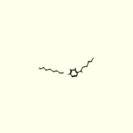 CCC[CH]CCC(C)c1ccc(OCCCCCCCCC)c(F)c1F